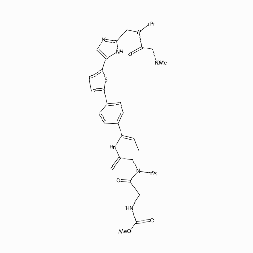 C=C(CN(CCC)C(=O)CNC(=O)OC)N/C(=C\C)c1ccc(-c2ccc(-c3cnc(CN(CCC)C(=O)CNC)[nH]3)s2)cc1